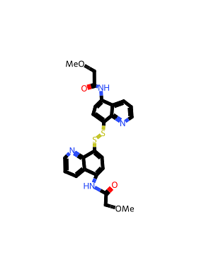 COCC(=O)Nc1ccc(SSc2ccc(NC(=O)COC)c3cccnc23)c2ncccc12